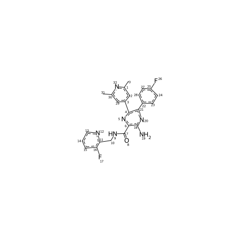 Cc1cc(-c2nc(C(=O)NCc3ncccc3F)c(N)nc2-c2ccc(F)cc2)cc(C)n1